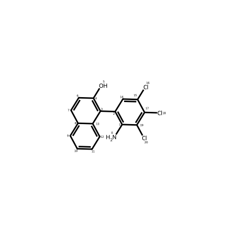 Nc1c(-c2c(O)ccc3ccccc23)cc(Cl)c(Cl)c1Cl